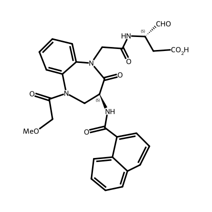 COCC(=O)N1C[C@H](NC(=O)c2cccc3ccccc23)C(=O)N(CC(=O)N[C@H](C=O)CC(=O)O)c2ccccc21